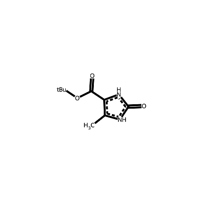 Cc1[nH]c(=O)[nH]c1C(=O)OC(C)(C)C